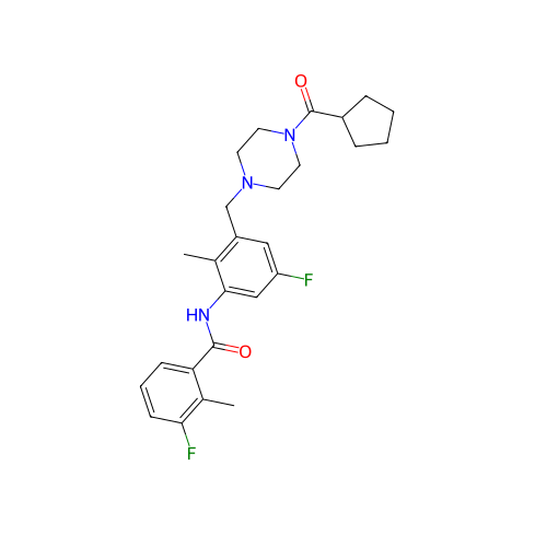 Cc1c(CN2CCN(C(=O)C3CCCC3)CC2)cc(F)cc1NC(=O)c1cccc(F)c1C